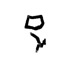 C1CCOC1.[I][Sm]([I])[I]